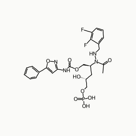 CC(=O)N(NCc1cccc(F)c1F)[C@H](COC(=O)Nc1cc(-c2ccccc2)on1)C[C@@H](O)COP(=O)(O)O